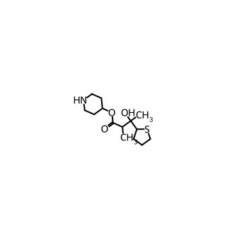 CC(C(=O)OC1CCNCC1)C(C)(O)C1CCCS1